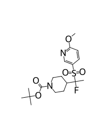 COc1ccc(S(=O)(=O)C(C)(F)C2CCN(C(=O)OC(C)(C)C)CC2)cn1